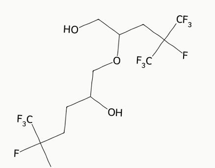 CC(F)(CCC(O)COC(CO)CC(F)(C(F)(F)F)C(F)(F)F)C(F)(F)F